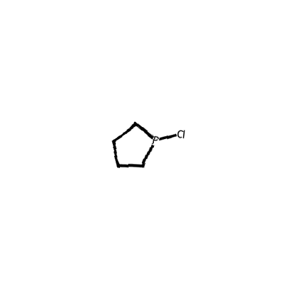 ClP1CCCC1